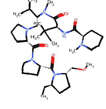 CC[C@@H]1CC[C@@H](COC)N1C(=O)[C@@H]1CCCN1C(=O)[C@@H]1CCCN1C[C@H](C(C)C)N(C)C(=O)[C@@H](NC(=O)[C@H]1CCCCN1C)C(C)(C)C